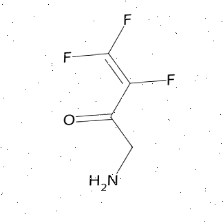 NCC(=O)C(F)=C(F)F